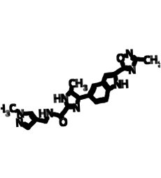 Cc1noc(-c2cc3cc(C4N=C(C(=O)NCc5cnn(C)c5)NC4C)ccc3[nH]2)n1